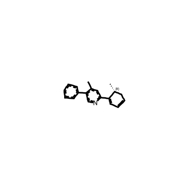 Cc1cc(C2=CC=CC[C@H]2C)ncc1-c1ccccc1